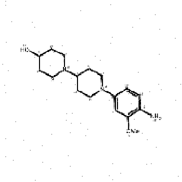 COc1cc(N2CCC(N3CCC(O)CC3)CC2)ccc1N